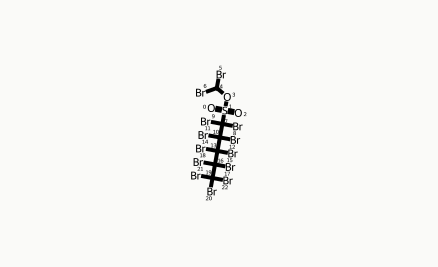 O=S(=O)(O[C](Br)Br)C(Br)(Br)C(Br)(Br)C(Br)(Br)C(Br)(Br)C(Br)(Br)Br